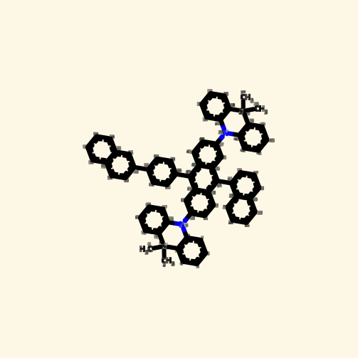 C[Si]1(C)c2ccccc2N(c2ccc3c(-c4cccc5ccccc45)c4cc(N5c6ccccc6[Si](C)(C)c6ccccc65)ccc4c(-c4ccc(-c5ccc6ccccc6c5)cc4)c3c2)c2ccccc21